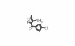 Cc1onc(C(=O)c2ccc(Cl)cc2)c1N